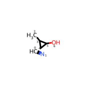 C#N.CC1CC1O